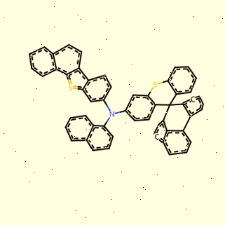 c1ccc2c(c1)Sc1cc(N(c3ccc4c(c3)sc3c5ccccc5ccc43)c3cccc4ccccc34)ccc1C21c2ccccc2-c2cccc3cccc1c23